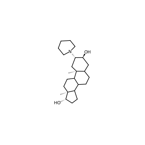 C[C@]12C[C@H](N3CCCCC3)[C@@H](O)CC1CCC1C2CC[C@@]2(C)C1CC[C@@H]2O